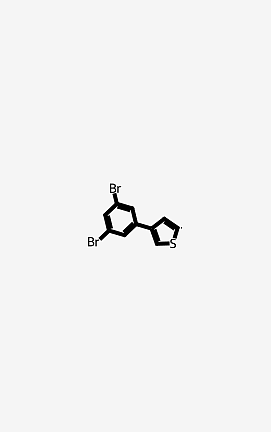 Brc1cc(Br)cc(-c2c[c]sc2)c1